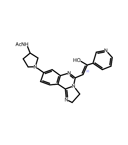 CC(=O)NC1CCN(c2ccc3c(c2)N=C(/C=C(\O)c2cccnc2)N2CCN=C32)C1